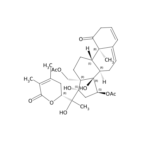 CC(=O)OC[C@]12CC[C@H]3[C@@H](CC=C4C=CCC(=O)[C@@]43C)[C@]1(O)[C@@H](OC(C)=O)C[C@@]2(O)C(C)(O)[C@H]1CC(C)=C(C)C(=O)O1